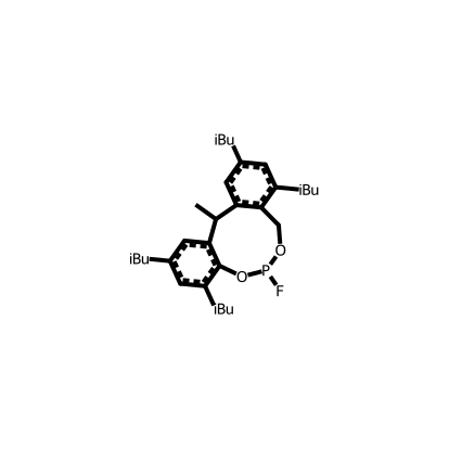 CCC(C)c1cc(C(C)CC)c2c(c1)C(C)c1cc(C(C)CC)cc(C(C)CC)c1OP(F)OC2